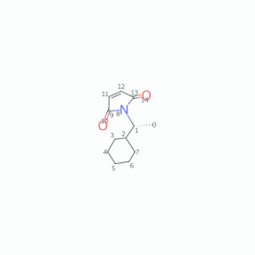 C[C@H](C1CCCCC1)N1C(=O)C=CC1=O